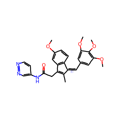 COc1ccc2c(c1)C(CC(=O)Nc1ccnnc1)=C(C)/C2=C/c1cc(OC)c(OC)c(OC)c1